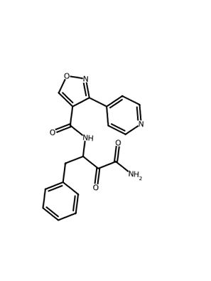 NC(=O)C(=O)C(Cc1ccccc1)NC(=O)c1conc1-c1ccncc1